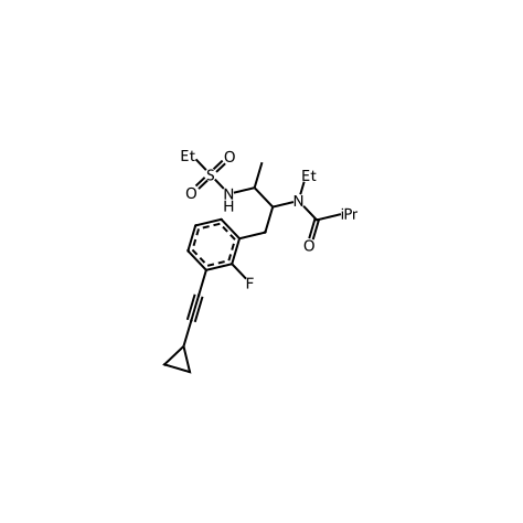 CCN(C(=O)C(C)C)C(Cc1cccc(C#CC2CC2)c1F)C(C)NS(=O)(=O)CC